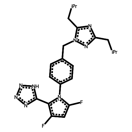 CC(C)Cc1nc(CC(C)C)n(Cc2ccc(-n3c(F)cc(F)c3-c3nnn[nH]3)cc2)n1